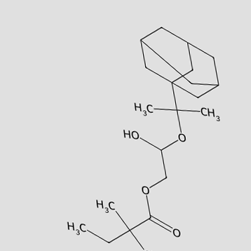 CCC(C)(C)C(=O)OCC(O)OC(C)(C)C12CC3CC(CC(C3)C1)C2